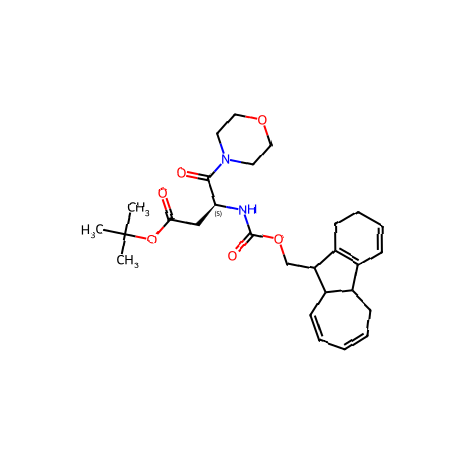 CC(C)(C)OC(=O)C[C@H](NC(=O)OCC1C2=C(C=CCC2)C2CC=CC=CC21)C(=O)N1CCOCC1